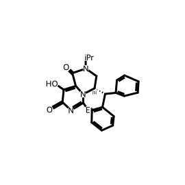 CCc1nc(=O)c(O)c2n1[C@@H](C(c1ccccc1)c1ccccc1)CN(C(C)C)C2=O